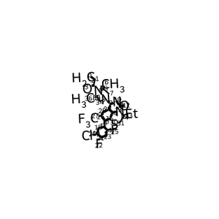 C=CC(=O)N1[C@H](C)CN(c2nc(=O)n3c4c(c(-c5cc(Cl)c(F)cc5F)c(C(F)(F)F)cc24)SC[C@@H]3CC)C[C@@H]1C